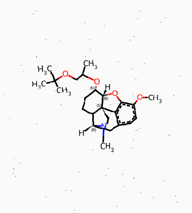 COc1ccc2c3c1O[C@H]1[C@@H](OC(C)COC(C)(C)C)CCC4[C@@H](C2)N(C)CC[C@@]341